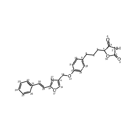 O=C1NC(=O)C(CCCc2ccc(OCc3coc(C=Cc4ccccc4)n3)cc2)O1